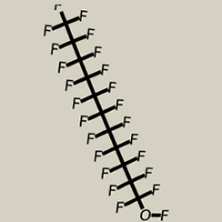 FOC(F)(F)C(F)(F)C(F)(F)C(F)(F)C(F)(F)C(F)(F)C(F)(F)C(F)(F)C(F)(F)C(F)(F)C(F)(F)F